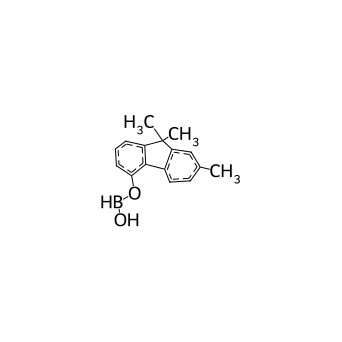 Cc1ccc2c(c1)C(C)(C)c1cccc(OBO)c1-2